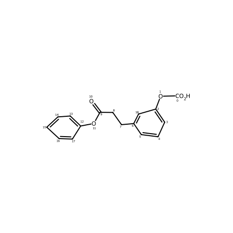 O=C(O)Oc1cccc(CCC(=O)Oc2ccccc2)c1